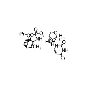 CC(C)OC(=O)[C@@H](C)NP(=O)(OC[C@]12CO[C@](C)([C@@H]1O)[C@H](n1ccc(=O)[nH]c1=O)O2)Oc1ccccc1